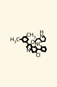 Cc1cc(C)cc(-c2cnc3cc(Cl)c(-c4ccccc4C#N)cc3c2OCCC2CCCCN2)c1